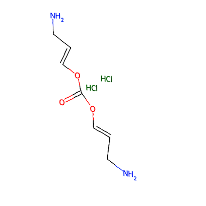 Cl.Cl.NCC=COC(=O)OC=CCN